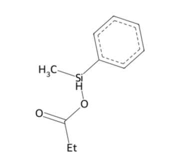 [CH2]CC(=O)O[SiH](C)c1ccccc1